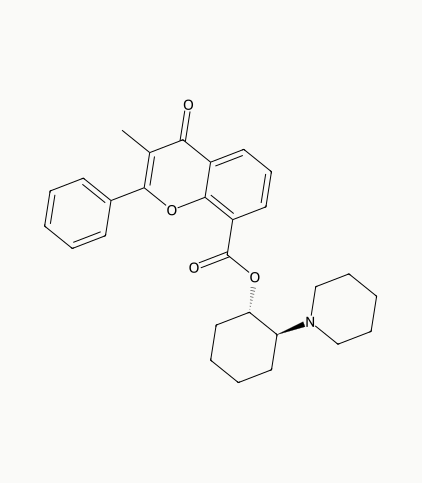 Cc1c(-c2ccccc2)oc2c(C(=O)O[C@H]3CCCC[C@@H]3N3CCCCC3)cccc2c1=O